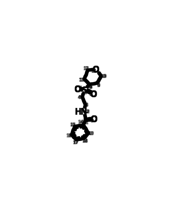 O=C(NCCS(=O)(=O)C1CCOCC1)c1ccccc1